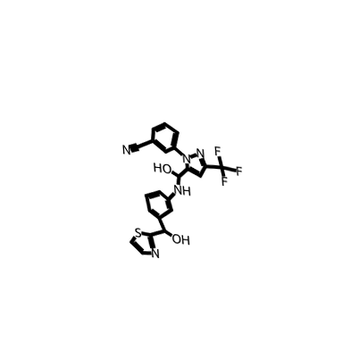 N#Cc1cccc(-n2nc(C(F)(F)F)cc2C(O)Nc2cccc(C(O)c3nccs3)c2)c1